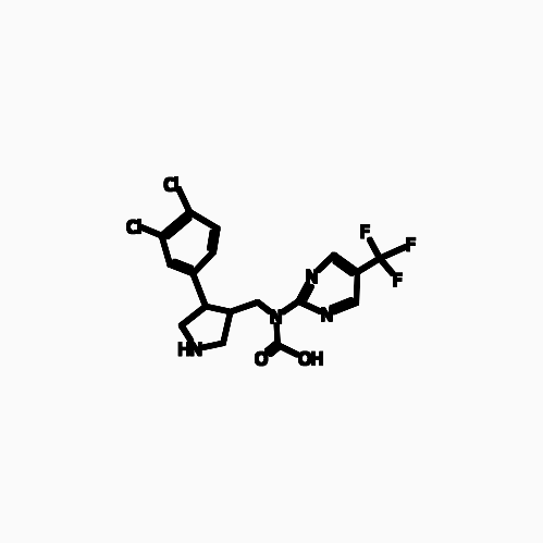 O=C(O)N(CC1CNCC1c1ccc(Cl)c(Cl)c1)c1ncc(C(F)(F)F)cn1